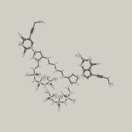 NCC#Cc1cn([C@H]2CC(OCSSCOC3C[C@H](n4cc(C#CCN)c5c(=O)[nH]c(N)nc54)O[C@@H]3COP(=O)(O)OP(=O)(O)OP(=O)(O)O)[C@@H](COP(=O)(O)OP(=O)(O)OP(=O)(O)O)O2)c(=O)[nH]c1=O